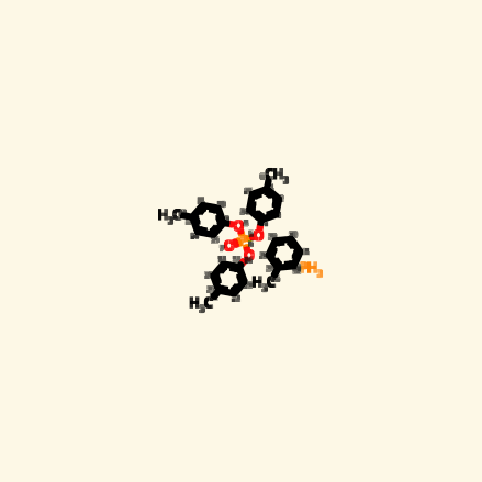 Cc1ccc(OP(=O)(Oc2ccc(C)cc2)Oc2ccc(C)cc2)cc1.Cc1ccccc1.P